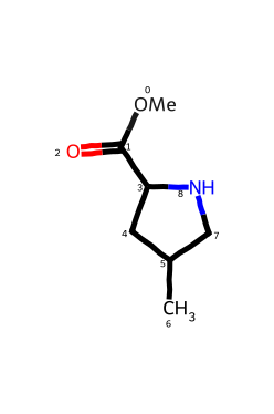 COC(=O)C1CC(C)CN1